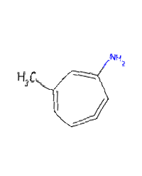 CC1=CC=C=CC(N)=C1